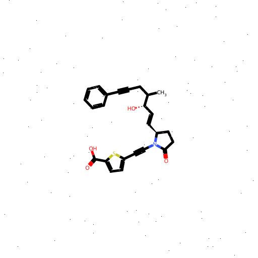 CC(CC#Cc1ccccc1)[C@@H](O)/C=C/[C@H]1CCC(=O)N1C#Cc1ccc(C(=O)O)s1